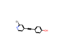 CCc1cc(C#Cc2ccc(O)cc2)ccn1